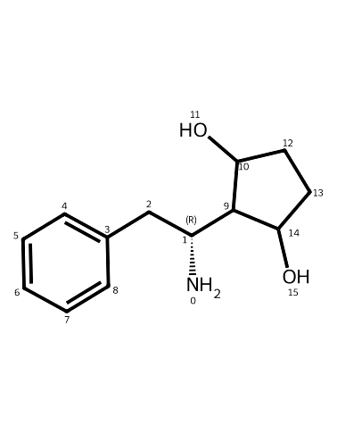 N[C@H](Cc1ccccc1)C1C(O)CCC1O